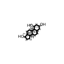 C[C@]12CC[C@H]3[C@@H](CC=C4C[C@@H](O)C[C@H](O)[C@@]43C)[C@@H]1CC[C@@H]2O